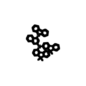 CC1(C)c2ccccc2-c2ccc(N(c3cc(-n4c5ccccc5c5ccccc54)c4ccccc4c3)c3cccc4c3-c3ccccc3C4(C)C)cc21